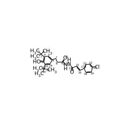 CC(C)(C)c1cc(CCC(=O)NNC(=O)/C=C/c2ccc(Cl)cc2)cc(C(C)(C)C)c1O